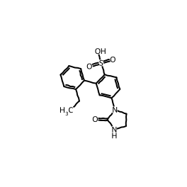 CCc1ccccc1-c1cc(N2CCNC2=O)ccc1S(=O)(=O)O